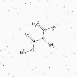 C=C(C(C)C)[C@H](N)C(=O)OC(C)(C)C